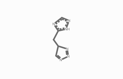 C1=NN=NC1Cc1ncn[nH]1